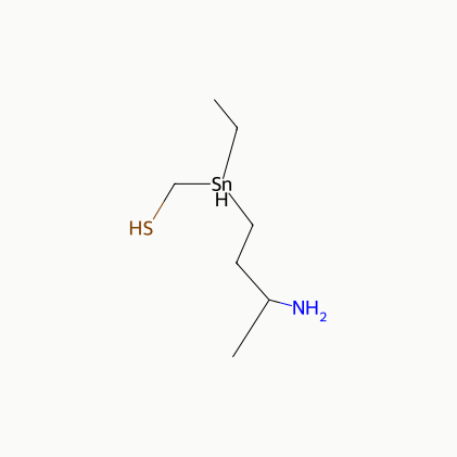 C[CH2][SnH]([CH2]S)[CH2]CC(C)N